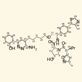 Cc1cc([C@@H](C(=O)N2C[C@H](O)C[C@H]2C(=O)N[C@H](COCCCCCc2cc(-c3ccccc3O)nnc2N)c2ccc(-c3scnc3C)cc2)C(C)C)on1